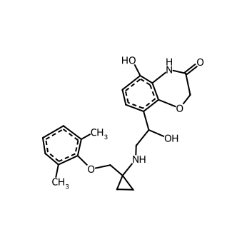 Cc1cccc(C)c1OCC1(NCC(O)c2ccc(O)c3c2OCC(=O)N3)CC1